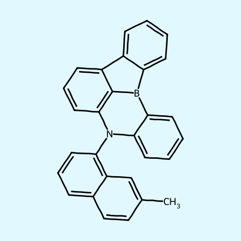 Cc1ccc2cccc(N3c4ccccc4B4c5ccccc5-c5cccc3c54)c2c1